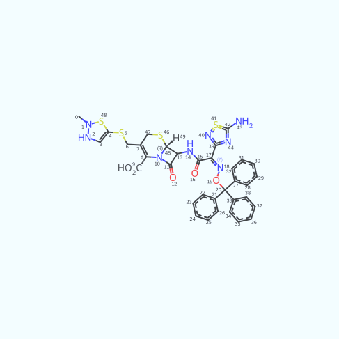 CN1NC=C(SCC2=C(C(=O)O)N3C(=O)C(NC(=O)/C(=N\OC(c4ccccc4)(c4ccccc4)c4ccccc4)c4nsc(N)n4)[C@H]3SC2)S1